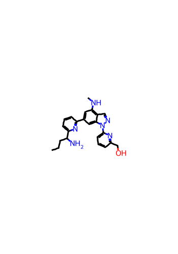 CCCC(N)c1cccc(-c2cc(NC)c3cnn(-c4cccc(CO)n4)c3c2)n1